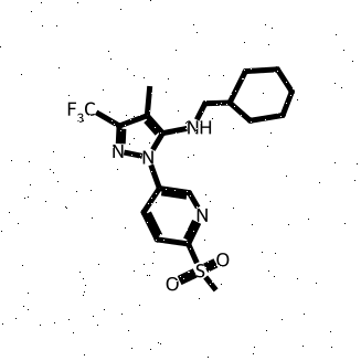 Cc1c(C(F)(F)F)nn(-c2ccc(S(C)(=O)=O)nc2)c1NCC1CCCCC1